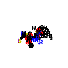 COC1C(Sc2cncc(C#CSI)c2)OC2COC(c3ccccc3)OC2C1N(N)/C=C(\N)c1csc(N(C(=O)OC(C)(C)C)C(=O)OC(C)(C)C)n1